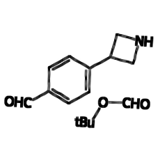 CC(C)(C)OC=O.O=Cc1ccc(C2CNC2)cc1